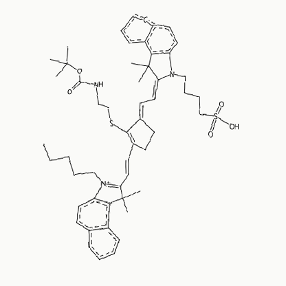 CCCCC[N+]1=C(/C=C/C2=C(SCCNC(=O)OC(C)(C)C)C(=C/C=C3/N(CCCCS(=O)(=O)O)c4ccc5ccccc5c4C3(C)C)/CC2)C(C)(C)c2c1ccc1ccccc21